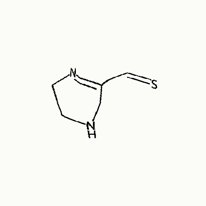 S=CC1=NCCN1